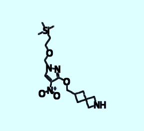 C[Si](C)(C)CCOCn1cc([N+](=O)[O-])c(OCC2CC3(CNC3)C2)n1